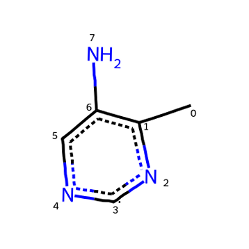 Cc1n[c]ncc1N